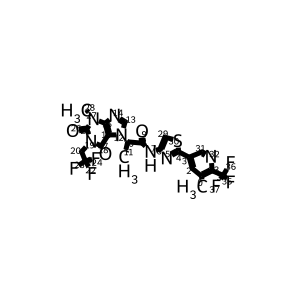 Cc1cc(-c2nc(NC(=O)C(C)n3cnc4c3c(=O)n(CC(F)(F)F)c(=O)n4C)cs2)cnc1C(F)(F)F